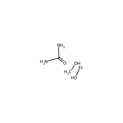 CCO.CO.NC(N)=O